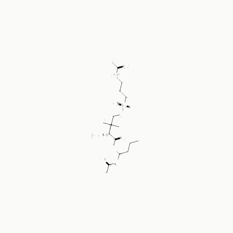 CCCC(OC(C)=O)OC(=O)[C@H](O)C(C)(C)COS(=O)(=O)CCCNC(C)=O